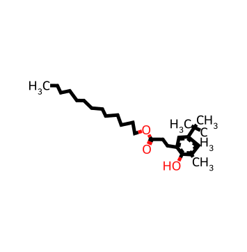 CCCCCCCCCCCCCOC(=O)CCc1cc(C(C)(C)C)cc(C)c1O